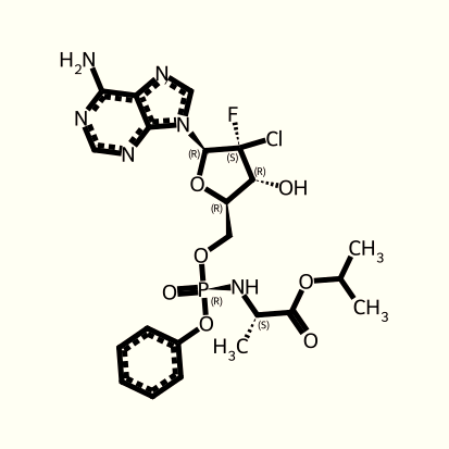 CC(C)OC(=O)[C@H](C)N[P@@](=O)(OC[C@H]1O[C@@H](n2cnc3c(N)ncnc32)[C@@](F)(Cl)[C@@H]1O)Oc1ccccc1